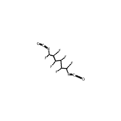 O=C=NC(F)C(F)C(F)C(F)C(F)C(F)N=C=O